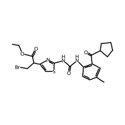 CCOC(=O)C(CBr)c1csc(NC(=O)Nc2ccc(C)cc2C(=O)C2CCCC2)n1